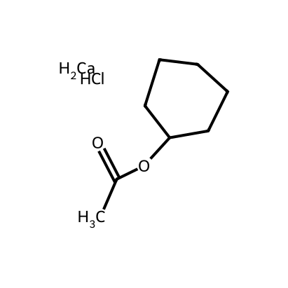 CC(=O)OC1CCCCC1.Cl.[CaH2]